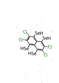 Clc1c(Cl)c([SeH])c2c([SeH])c(Cl)c(Cl)c([SeH])c2c1[SeH]